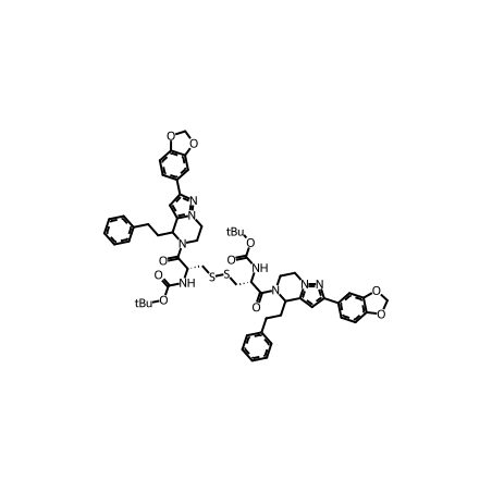 CC(C)(C)OC(=O)N[C@@H](CSSC[C@H](NC(=O)OC(C)(C)C)C(=O)N1CCn2nc(-c3ccc4c(c3)OCO4)cc2C1CCc1ccccc1)C(=O)N1CCn2nc(-c3ccc4c(c3)OCO4)cc2C1CCc1ccccc1